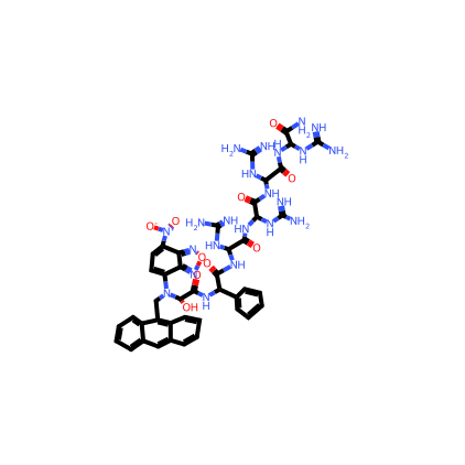 N=C(N)NC(NC(=O)C(NC(=N)N)NC(=O)C(NC(=N)N)NC(=O)C(NC(=N)N)NC(=O)C(NC(=O)C(O)N(Cc1c2ccccc2cc2ccccc12)c1ccc([N+](=O)[O-])c2nonc12)c1ccccc1)C(N)=O